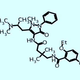 CCOc1ccc(Cl)cc1C(=O)NCC(C)(C)CC(=O)Nc1c(C[C@H](C)N(C)C)n(C)n(-c2ccccc2)c1=O